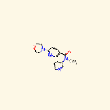 CN(C(=O)c1ccc(N2CCOCC2)nc1)c1cccnc1